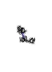 C=C/C(=C\C=C(/C)S(=O)(=O)NCCC1=CC=NC=CC1)S(=O)(=O)N1C(C)CCCC1C